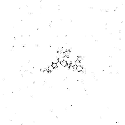 CC1Cc2nc(C(=O)N3CCN(S(=O)(=O)c4sc5cc(Cl)ccc5c4CC(N)=O)CC3CC(=O)N(C)C)oc2CN1